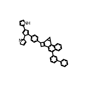 C1=CC(C2C=C(c3ccc[nH]3)C=C2c2ccc(C3CC4=C3C3CC3c3c4cc(-c4cccc(-c5ccccc5)c4)c4ccccc34)cc2)=NC1